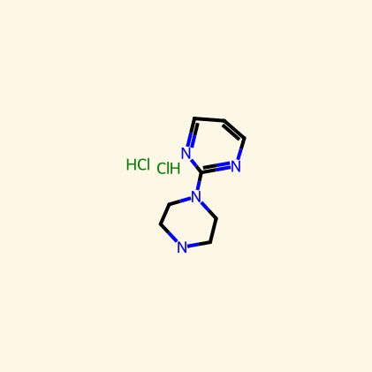 Cl.Cl.c1cnc(N2CC[N]CC2)nc1